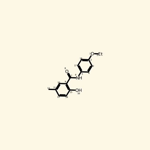 CCOc1ccc(NC(=O)c2cc(C)ccc2O)cc1